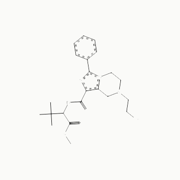 CNC(=O)C(NC(=O)c1nc(-c2ccccc2)n2c1CN(CCO)CC2)C(C)(C)C